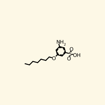 CCCCCCCOc1cc(N)cc(S(=O)(=O)O)c1